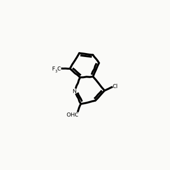 O=Cc1cc(Cl)c2cccc(C(F)(F)F)c2n1